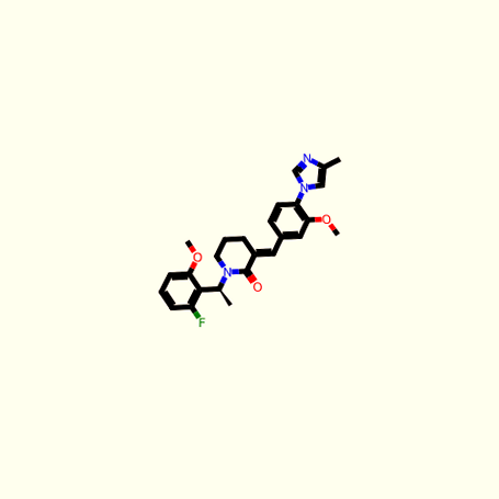 COc1cc(C=C2CCCN([C@@H](C)c3c(F)cccc3OC)C2=O)ccc1-n1cnc(C)c1